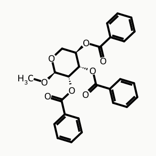 CO[C@H]1OC[C@@H](OC(=O)c2ccccc2)[C@H](OC(=O)c2ccccc2)[C@@H]1OC(=O)c1ccccc1